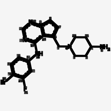 NC1CCN(Cc2ccn3ncnc(Nc4ccc(Br)c(F)c4)c23)CC1